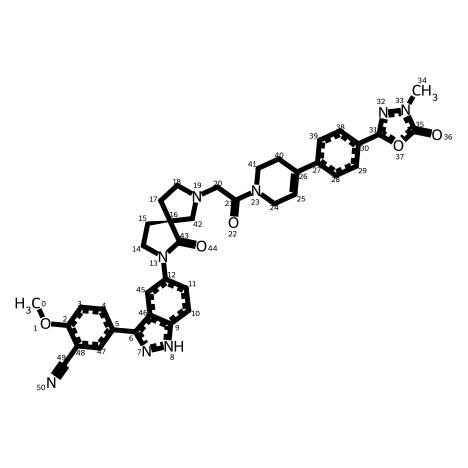 COc1ccc(-c2n[nH]c3ccc(N4CC[C@]5(CCN(CC(=O)N6CC=C(c7ccc(-c8nn(C)c(=O)o8)cc7)CC6)C5)C4=O)cc23)cc1C#N